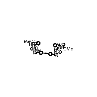 COC[C@H]1CCCN1C(=O)N[C@@H](C(=O)N1CCC[C@H]1c1ncc(-c2ccc(C#Cc3ccc(-c4cnc([C@@H]5CCCN5C(=O)[C@H](NC(=O)OC)c5ccccc5)[nH]4)cc3)cc2)[nH]1)c1ccccc1